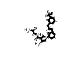 Cc1cn(-c2cccc3cc(Cc4cccc(C(F)(F)F)c4)sc23)cc1C(=O)NCC(N)=O